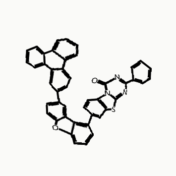 O=c1nc(-c2ccccc2)nc2sc3cc(-c4cccc5oc6ccc(-c7ccc8c9ccccc9c9ccccc9c8c7)cc6c45)ccc3n12